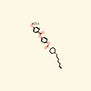 C=CCCCCC[C@H]1CC[C@H](C(=O)Oc2ccc(OC(=O)c3ccc(OCCCCCCCC)cc3)cc2)CC1